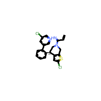 C=CC(=N)N1Cc2sc(Cl)cc2[C@@H](c2ccccc2-c2cncc(Cl)c2)C1